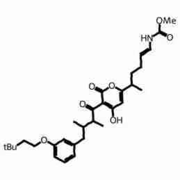 COC(=O)N/C=C/CCC(C)c1cc(O)c(C(=O)C(C)C(C)Cc2cccc(OCCC(C)(C)C)c2)c(=O)o1